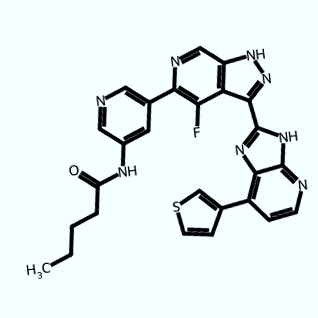 CCCCC(=O)Nc1cncc(-c2ncc3[nH]nc(-c4nc5c(-c6ccsc6)ccnc5[nH]4)c3c2F)c1